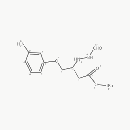 CC(C)(C)OC(=O)C[C@H](COc1cccc(N)c1)NBC=O